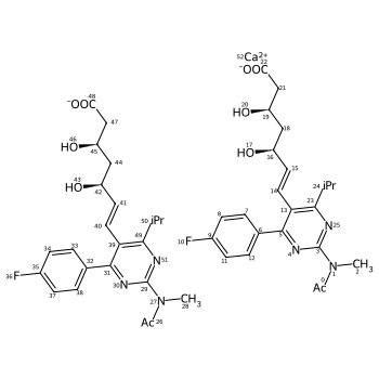 CC(=O)N(C)c1nc(-c2ccc(F)cc2)c(/C=C/[C@@H](O)C[C@@H](O)CC(=O)[O-])c(C(C)C)n1.CC(=O)N(C)c1nc(-c2ccc(F)cc2)c(/C=C/[C@@H](O)C[C@@H](O)CC(=O)[O-])c(C(C)C)n1.[Ca+2]